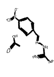 CC(=O)O.N=C(N)NN=Cc1ccc([N+](=O)[O-])cc1